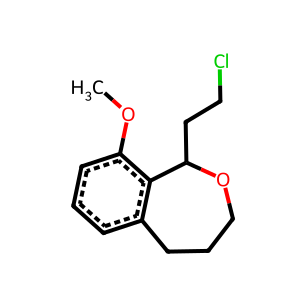 COc1cccc2c1C(CCCl)OCCC2